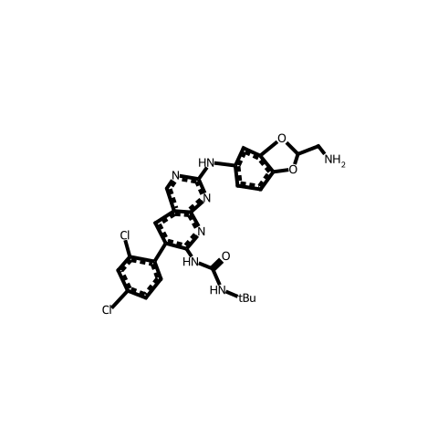 CC(C)(C)NC(=O)Nc1nc2nc(Nc3ccc4c(c3)OC(CN)O4)ncc2cc1-c1ccc(Cl)cc1Cl